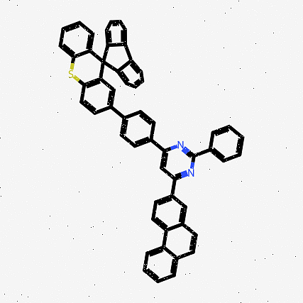 c1ccc(-c2nc(-c3ccc(-c4ccc5c(c4)C4(c6ccccc6S5)c5ccccc5-c5ccccc54)cc3)cc(-c3ccc4c(ccc5ccccc54)c3)n2)cc1